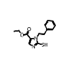 CCOC(=O)c1cnc(S)n1CCc1ccccc1